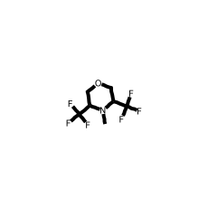 CN1C(C(F)(F)F)COCC1C(F)(F)F